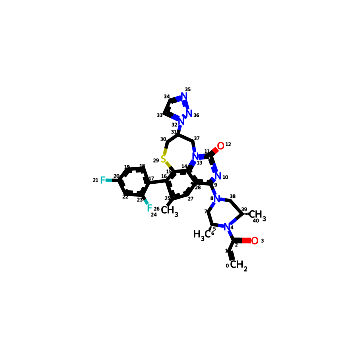 C=CC(=O)N1[C@H](C)CN(c2nc(=O)n3c4c(c(-c5ccc(F)cc5F)c(C)cc24)SCC(n2ccnn2)C3)C[C@@H]1C